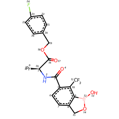 CC(C)[C@H](NC(=O)c1ccc2c(c1C(F)(F)F)B(O)OC2)C(=O)OCc1ccc(F)cc1